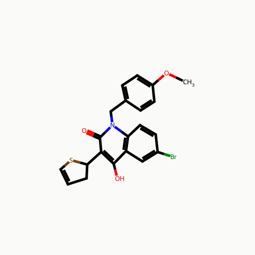 COc1ccc(Cn2c(=O)c(C3CC=CS3)c(O)c3cc(Br)ccc32)cc1